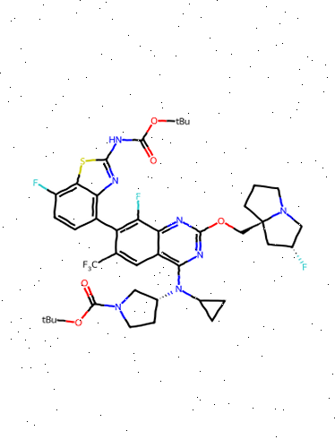 CC(C)(C)OC(=O)Nc1nc2c(-c3c(C(F)(F)F)cc4c(N(C5CC5)[C@@H]5CCN(C(=O)OC(C)(C)C)C5)nc(OC[C@@]56CCCN5C[C@H](F)C6)nc4c3F)ccc(F)c2s1